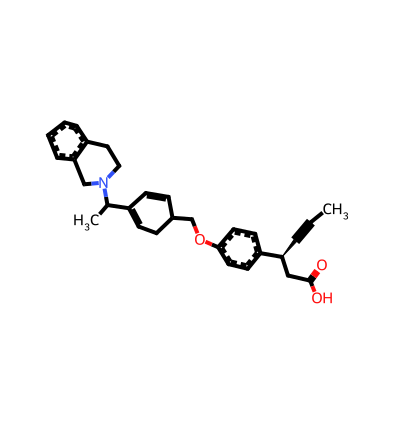 CC#C[C@@H](CC(=O)O)c1ccc(OCC2C=CC(C(C)N3CCc4ccccc4C3)=CC2)cc1